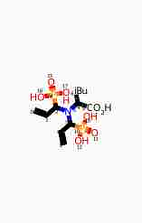 C=CC(N(C(C(=O)O)C(C)CC)C(C=C)P(=O)(O)O)P(=O)(O)O